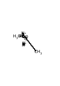 CCCCCCCCCCCCCCCCOC(=O)c1ccc(OCC)c([N+]#N)c1.F[B-](F)(F)F